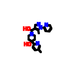 Cc1ccc(C2(O)CCN(C(O)c3cnn(-c4ccccn4)c3C)CC2)nc1